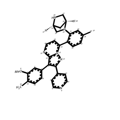 COc1cc(-c2c(-c3ccncc3)nn3c(-c4ccc(F)cc4N4C[C@@H]5C[C@H]4CN5)ccnc23)ccc1C